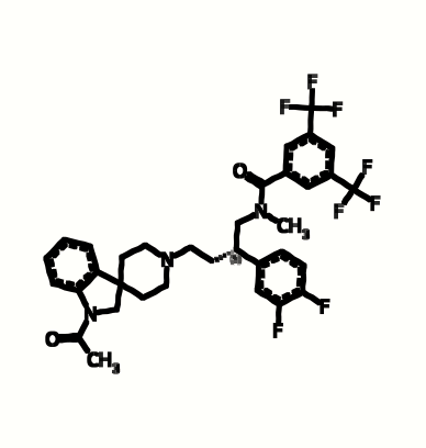 CC(=O)N1CC2(CCN(CC[C@H](CN(C)C(=O)c3cc(C(F)(F)F)cc(C(F)(F)F)c3)c3ccc(F)c(F)c3)CC2)c2ccccc21